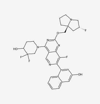 Oc1cc(-c2ncc3c(N4CCC(O)C(F)(F)C4)nc(OC[C@@]45CCCN4C[C@H](F)C5)nc3c2F)c2ccccc2c1